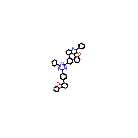 c1ccc(-c2nc(-c3ccc(-c4cccc5c4oc4ccccc45)cc3)nc(-c3cccc(-c4cccc5nc(-c6ccccc6)c6oc7ccccc7c6c45)c3)n2)cc1